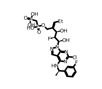 CC/C=C(/COP(=O)(O)CP(=O)(O)O)[C@@H](O)[C@H](F)[C@@H](O)n1ncc2c(N[C@H](C)c3cccc(F)c3)nc(Cl)nc21